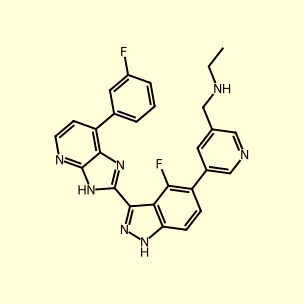 CCNCc1cncc(-c2ccc3[nH]nc(-c4nc5c(-c6cccc(F)c6)ccnc5[nH]4)c3c2F)c1